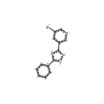 Brc1cncc(-c2noc(-c3cc[c]cc3)n2)c1